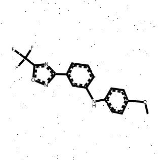 COc1ccc(Nc2[c]ccc(-c3noc(C(F)(F)F)n3)c2)cc1